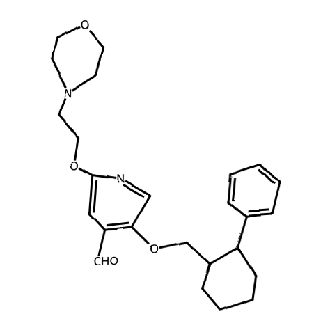 O=Cc1cc(OCCN2CCOCC2)ncc1OCC1CCCCC1c1ccccc1